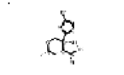 CC[C@@H](O)[C@@H]1C[C@H](C)OC[C@@]1(N)c1nc(Br)cs1